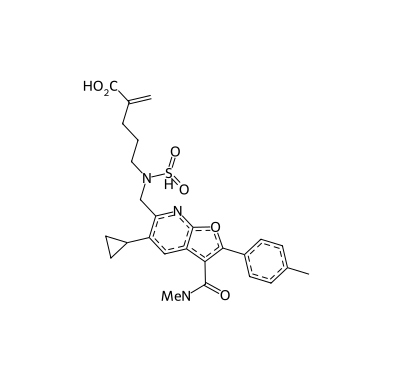 C=C(CCCN(Cc1nc2oc(-c3ccc(C)cc3)c(C(=O)NC)c2cc1C1CC1)[SH](=O)=O)C(=O)O